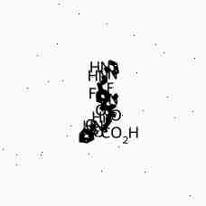 Cn1cc(C(=O)NCC(NS(=O)(=O)c2ccccc2)C(=O)O)c(=O)c2cc(F)c(CCNC3N=CCCN3)c(F)c21